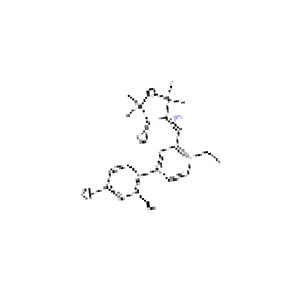 CCc1ccc(-c2ccc(Cl)cc2Cl)cc1/C=C1\C(=O)C(C)(C)OC1(C)C